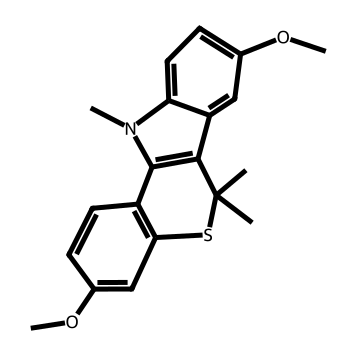 COc1ccc2c(c1)SC(C)(C)c1c-2n(C)c2ccc(OC)cc12